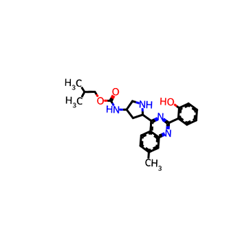 Cc1ccc2c(C3CC(NC(=O)OCC(C)C)CN3)nc(-c3ccccc3O)nc2c1